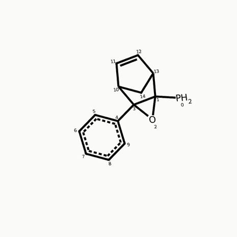 PC12OC1(c1ccccc1)C1C=CC2C1